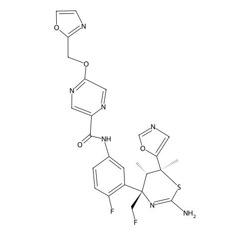 C[C@H]1[C@@](CF)(c2cc(NC(=O)c3cnc(OCc4ncco4)cn3)ccc2F)N=C(N)S[C@]1(C)c1cnco1